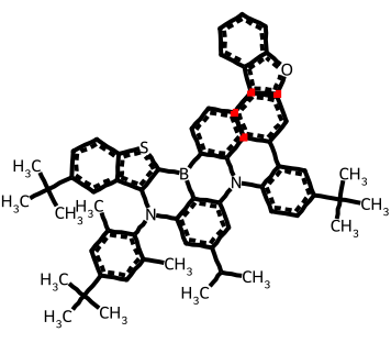 Cc1cc(C(C)(C)C)cc(C)c1N1c2cc(C(C)C)cc3c2B(c2ccc(-c4coc5ccccc45)cc2N3c2ccc(C(C)(C)C)cc2-c2ccccc2)c2sc3ccc(C(C)(C)C)cc3c21